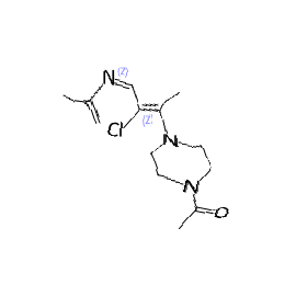 C=C(C)/N=C\C(Cl)=C(/C)N1CCN(C(C)=O)CC1